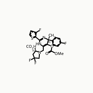 COC(=O)OC1=C(CN2CC(F)(F)C[C@H]2C(=O)O)NC(c2sccc2F)=N[C@]1(C)c1ccc(F)cc1